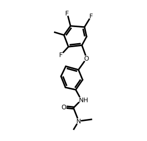 Cc1c(F)c(F)cc(Oc2cccc(NC(=O)N(C)C)c2)c1F